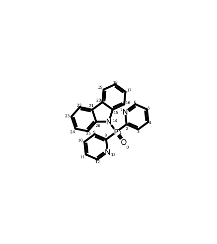 O=P(c1ccccn1)(c1ccccn1)n1c2ccccc2c2ccccc21